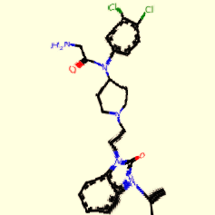 C=C(C)n1c(=O)n(CCN2CCC(N(C(=O)CN)c3ccc(Cl)c(Cl)c3)CC2)c2ccccc21